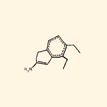 CCc1ccc2c(c1CC)C=C(N)C2